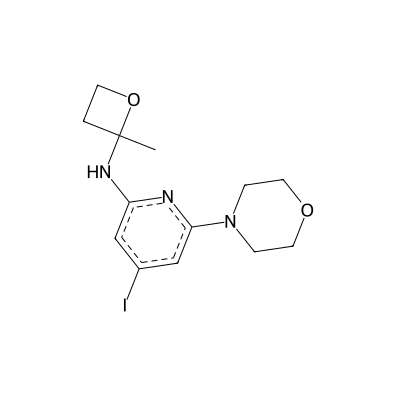 CC1(Nc2cc(I)cc(N3CCOCC3)n2)CCO1